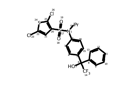 CC(C)N(c1ccc(C(O)(c2ccccc2)C(F)(F)F)cc1)S(=O)(=O)c1cc(Cl)sc1Cl